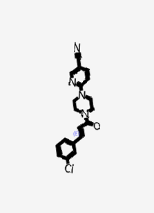 N#Cc1ccc(N2CCN(C(=O)/C=C/c3cccc(Cl)c3)CC2)nc1